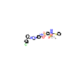 CS(=O)(=O)c1cc(S(=O)(=O)NC(=O)c2ccc(N3CCN(Cc4ccccc4-c4ccc(Cl)cc4)CC3)cc2)ccc1NCCSc1ccccc1